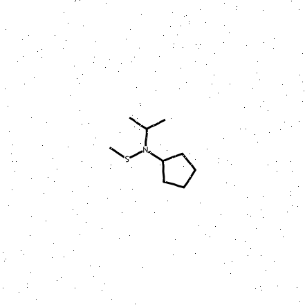 CSN(C(C)C)C1CCCC1